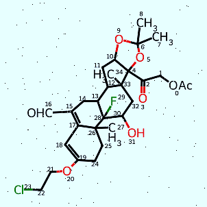 CC(=O)OCC(=O)C12OC(C)(C)OC1CC1C3CC(C=O)=C4C=C(OCCCl)CCC4(C)C3(F)C(O)CC12C